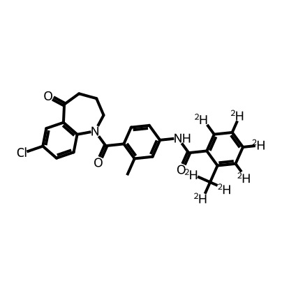 [2H]c1c([2H])c([2H])c(C([2H])([2H])[2H])c(C(=O)Nc2ccc(C(=O)N3CCCC(=O)c4cc(Cl)ccc43)c(C)c2)c1[2H]